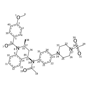 COc1ccc(C(=O)N2c3ccccc3[C@H](N(C(C)=O)c3ccc(N4CCN(S(C)(=O)=O)CC4)cc3)C[C@@H]2C)cc1